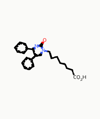 O=C(O)CCCCCCCn1cc(-c2ccccc2)c(-c2ccccc2)nc1=O